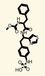 COC(=O)NC(Cc1ccccc1)C(=O)NC(Cc1ccc(NS(=O)(=O)O)cc1)c1cscn1